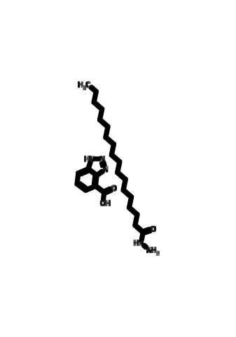 CCCCCCCCCCCCCCCCCC(=O)NN.O=C(O)c1cccc2[nH]nnc12